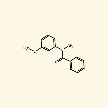 COc1cccc(N(N)C(=O)c2ccccc2)c1